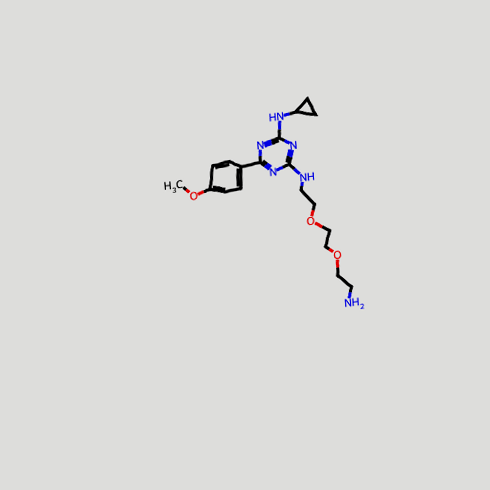 COc1ccc(-c2nc(NCCOCCOCCN)nc(NC3CC3)n2)cc1